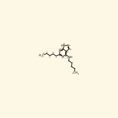 CCCCCNc1nc(CCCCC)nc2[nH]ncc12